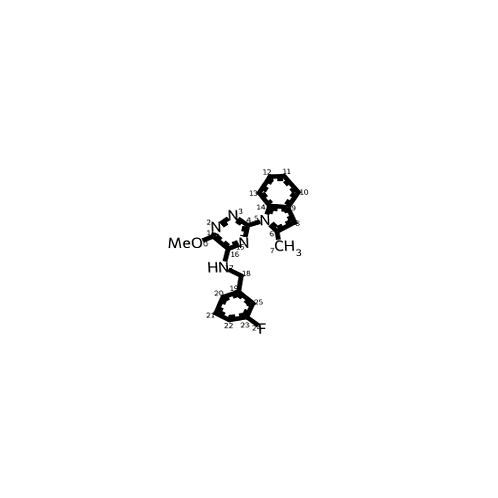 COc1nnc(-n2c(C)cc3ccccc32)nc1NCc1cccc(F)c1